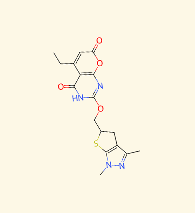 CCc1cc(=O)oc2nc(OCC3Cc4c(C)nn(C)c4S3)[nH]c(=O)c12